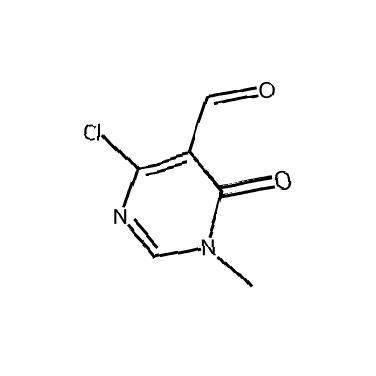 Cn1cnc(Cl)c(C=O)c1=O